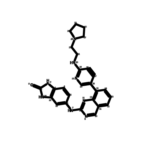 O=c1[nH]c2ccc(Nc3ncc4cccc(-c5c#cc(NCCN6CCCC6)nc5)c4n3)cc2[nH]1